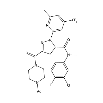 CC(=O)N1CCN(C(=O)C2=NN(c3cc(C(F)(F)F)cc(C)n3)C(C(=O)N(C)c3ccc(F)c(Cl)c3)C2)CC1